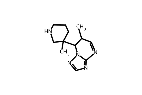 CC1C=Nc2ncnn2C1C1(C)CCCNC1